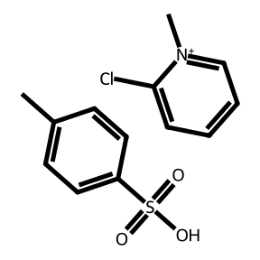 C[n+]1ccccc1Cl.Cc1ccc(S(=O)(=O)O)cc1